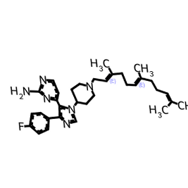 CC(C)=CCC/C(C)=C/CC/C(C)=C/CN1CCC(n2cnc(-c3ccc(F)cc3)c2-c2ccnc(N)n2)CC1